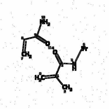 C=C(C)C(=O)NC(C)C.C=CC(N)=O